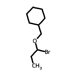 CCC(Br)OCC1CCCCC1